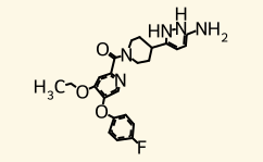 CCOc1cc(C(=O)N2CCC(C3=CC=C(N)NN3)CC2)ncc1Oc1ccc(F)cc1